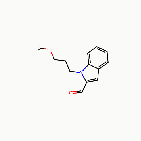 COCCCn1c(C=O)cc2ccccc21